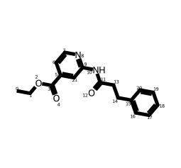 CCOC(=O)c1ccnc(NC(=O)CCc2ccccc2)c1